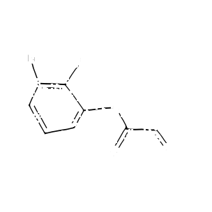 C=CC(=O)Oc1cccc(Br)c1Cl